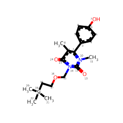 Cc1c(-c2ccc(O)cc2)n(C)c(=O)n(COCC[Si](C)(C)C)c1=O